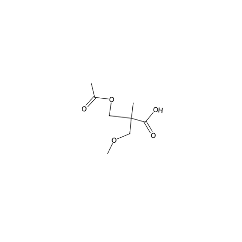 COCC(C)(COC(C)=O)C(=O)O